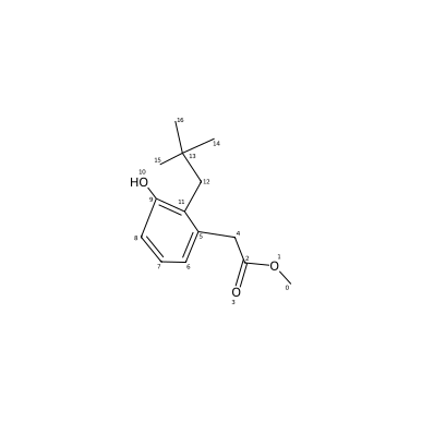 COC(=O)Cc1cccc(O)c1CC(C)(C)C